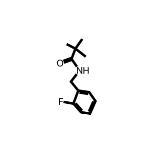 CC(C)(C)C(=O)NCc1ccccc1F